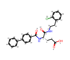 O=C(O)CC[C@H](NC(=O)c1ccc(-c2ccccc2)cc1)C(=O)NCCc1ccccc1Cl